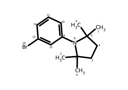 CC1(C)CCC(C)(C)N1c1cccc(Br)c1